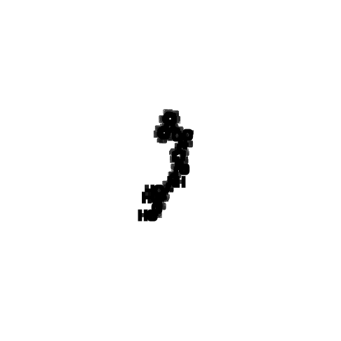 CN(CC1CCN(C(=O)CCCNCCC(O)CC(O)COCO)CC1)C(=O)OCC1c2ccccc2-c2ccccc21